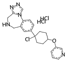 Cl.Cl.ClC1(c2ccc3c(c2)CNCc2nncn2-3)CCC(Oc2cccnc2)CC1